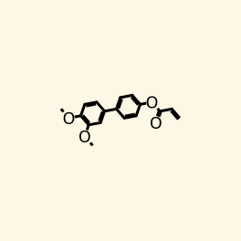 C=CC(=O)Oc1ccc(-c2ccc(OC)c(OC)c2)cc1